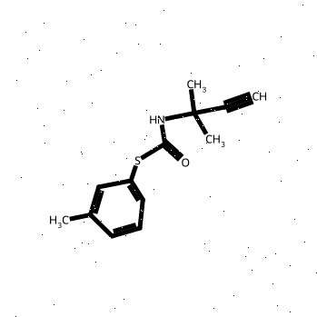 C#CC(C)(C)NC(=O)Sc1cccc(C)c1